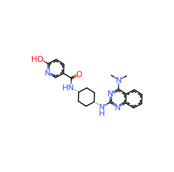 CN(C)c1nc(N[C@H]2CC[C@@H](NC(=O)c3ccc(O)nc3)CC2)nc2ccccc12